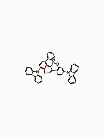 O=[PH](c1ccccc1-c1ccc(-n2c3ccccc3c3ccccc32)cc1)c1ccccc1-c1ccc(-n2c3ccccc3c3ccccc32)cc1